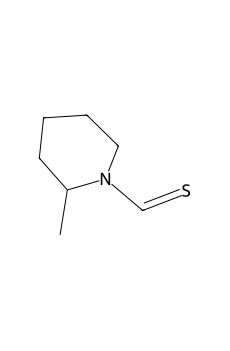 CC1CCCCN1C=S